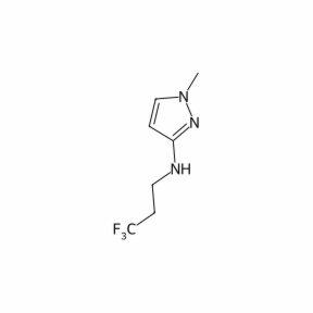 Cn1ccc(NCCC(F)(F)F)n1